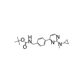 CN(c1nccc(-c2ccc(CNC(=O)OC(C)(C)C)cc2)n1)C1CC1